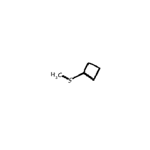 CSC1CCC1